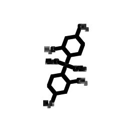 CO[Si](OC)(C1CCC(C)CC1C)C1CCC(C)CC1C